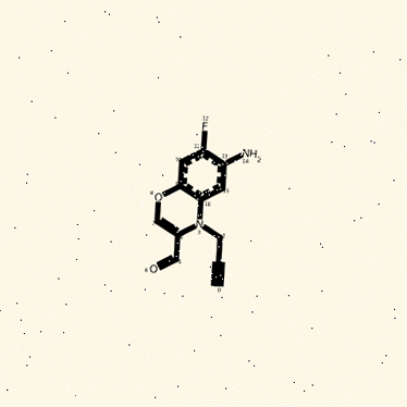 C#CCN1C(C=O)=COc2cc(F)c(N)cc21